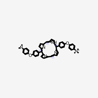 CN(C)c1ccc(Oc2ccc(/C3=C4\C=CC(=N4)/C=c4/cc/c([nH]4)=C(\c4ccc(Oc5ccc([N+](C)(C)C)cc5)cc4)C4=N/C(=C\C5C6C=C3N65)C=C4)cc2)cc1